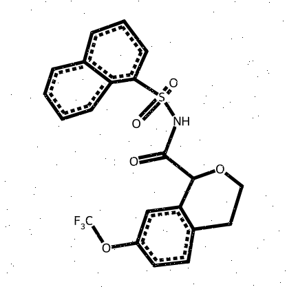 O=C(NS(=O)(=O)c1cccc2ccccc12)C1OCCc2ccc(OC(F)(F)F)cc21